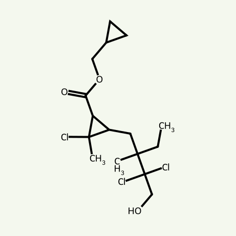 CCC(C)(CC1C(C(=O)OCC2CC2)C1(C)Cl)C(Cl)(Cl)CO